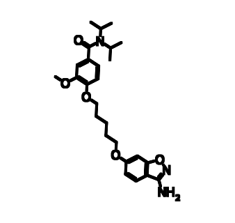 COc1cc(C(=O)N(C(C)C)C(C)C)ccc1OCCCCCOc1ccc2c(N)noc2c1